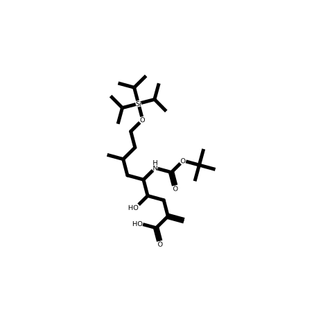 C=C(CC(O)C(CC(C)CCO[Si](C(C)C)(C(C)C)C(C)C)NC(=O)OC(C)(C)C)C(=O)O